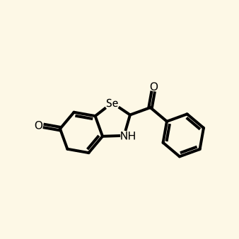 O=C1C=C2[Se]C(C(=O)c3ccccc3)NC2=CC1